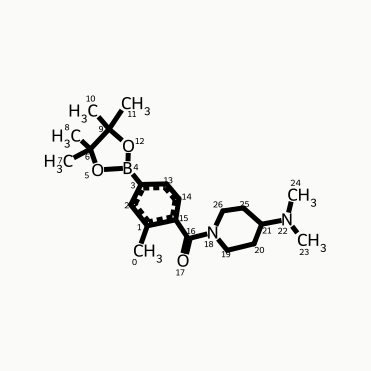 Cc1cc(B2OC(C)(C)C(C)(C)O2)ccc1C(=O)N1CCC(N(C)C)CC1